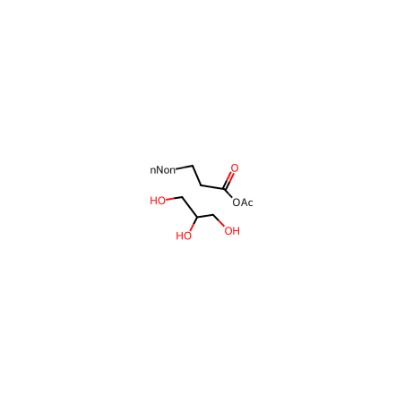 CCCCCCCCCCCC(=O)OC(C)=O.OCC(O)CO